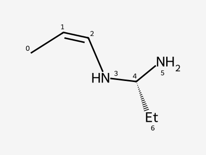 C/C=C\N[C@H](N)CC